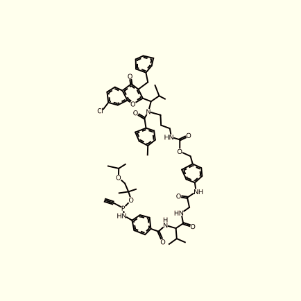 C#CP(Nc1ccc(C(=O)NC(C(=O)NCC(=O)Nc2ccc(COC(=O)NCCCN(C(=O)c3ccc(C)cc3)C(c3oc4cc(Cl)ccc4c(=O)c3Cc3ccccc3)C(C)C)cc2)C(C)C)cc1)OC(C)(C)COC(C)C